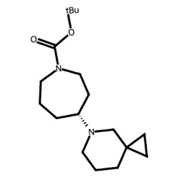 CC(C)(C)OC(=O)N1CCC[C@@H](N2CCCC3(CC3)C2)CC1